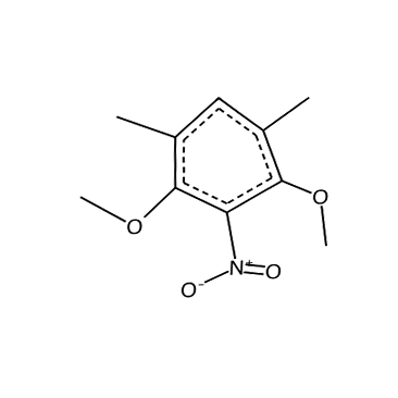 COc1c(C)cc(C)c(OC)c1[N+](=O)[O-]